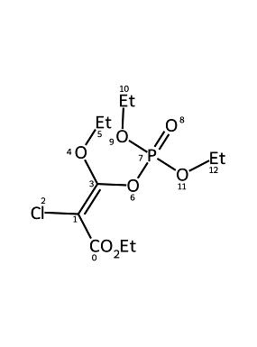 CCOC(=O)C(Cl)=C(OCC)OP(=O)(OCC)OCC